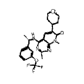 Cc1nc(N[C@H](C)c2cccc(OC(F)(F)F)c2)c2cc(C3CCOCC3)c(=O)n(C)c2n1